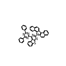 c1ccc(-c2nc(-c3ccccc3)nc(-c3nc(-n4c5ccc6ccccc6c5c5ccc6ccccc6c54)nc4sc5ccccc5c34)n2)cc1